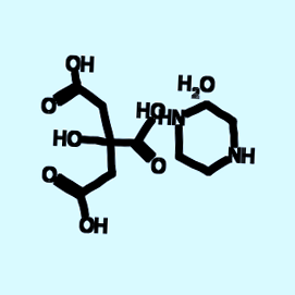 C1CNCCN1.O.O=C(O)CC(O)(CC(=O)O)C(=O)O